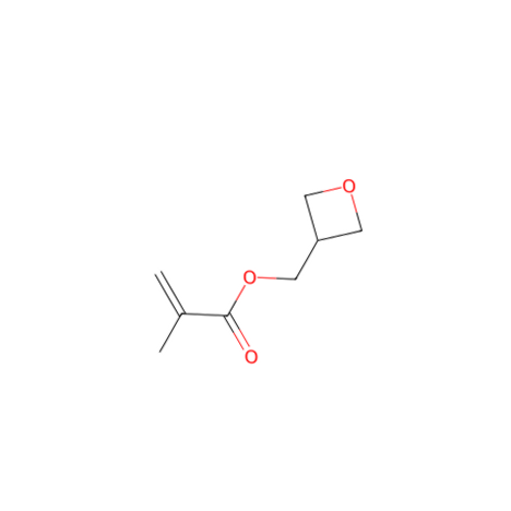 C=C(C)C(=O)OCC1COC1